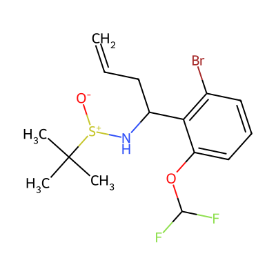 C=CCC(N[S+]([O-])C(C)(C)C)c1c(Br)cccc1OC(F)F